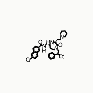 CCC(CN1CC[C@H](CNC(=O)c2ccc3cc(Cl)ccc3c2)N[C@H](CCN2CCCCC2)C1=O)c1ccccc1